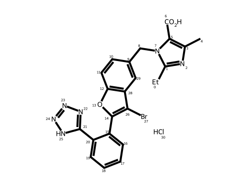 CCc1nc(C)c(C(=O)O)n1Cc1ccc2oc(-c3ccccc3-c3nnn[nH]3)c(Br)c2c1.Cl